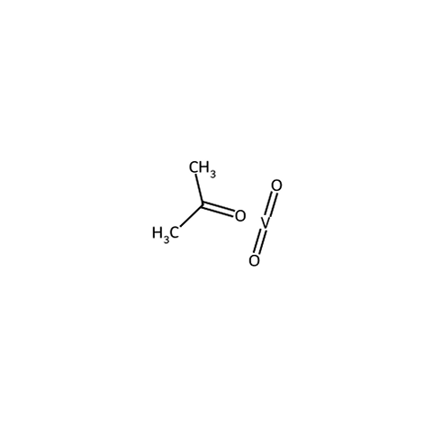 CC(C)=O.[O]=[V]=[O]